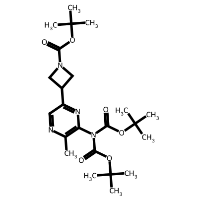 Cc1ncc(C2CN(C(=O)OC(C)(C)C)C2)nc1N(C(=O)OC(C)(C)C)C(=O)OC(C)(C)C